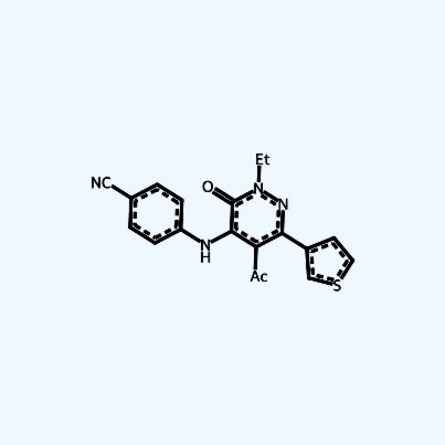 CCn1nc(-c2ccsc2)c(C(C)=O)c(Nc2ccc(C#N)cc2)c1=O